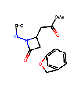 COC(=O)CC1CC(=O)N1NC=O.c1cc2cc(c1)OC2